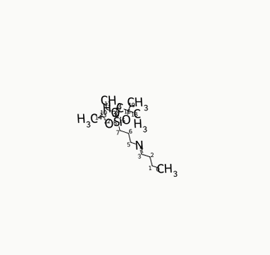 CCCC=NCCC[Si](OCC)(OCC)OC(C)(C)C